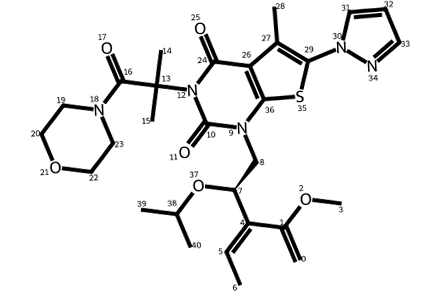 C=C(OC)/C(=C\C)[C@H](Cn1c(=O)n(C(C)(C)C(=O)N2CCOCC2)c(=O)c2c(C)c(-n3cccn3)sc21)OC(C)C